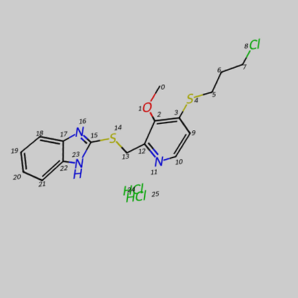 COc1c(SCCCCl)ccnc1CSc1nc2ccccc2[nH]1.Cl.Cl